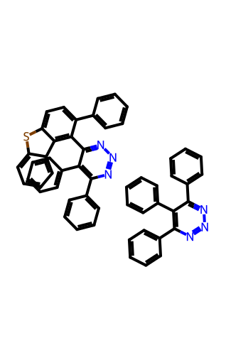 c1ccc(-c2ccc3sc4ccccc4c3c2-c2nnnc(-c3ccccc3)c2-c2ccccc2)cc1.c1ccc(-c2nnnc(-c3ccccc3)c2-c2ccccc2)cc1